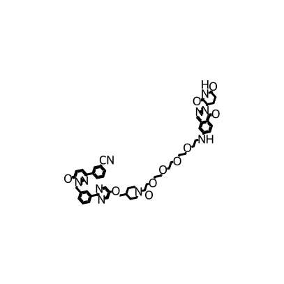 N#Cc1cccc(-c2ccc(=O)n(Cc3cccc(-c4ncc(OCC5CCN(C(=O)COCCOCCOCCOCCNc6ccc7c(=O)n(C8CCC(=O)NC8=O)ncc7c6)CC5)cn4)c3)n2)c1